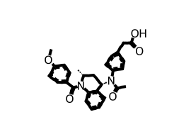 COc1ccc(C(=O)N2c3ccccc3[C@@H](N(C(C)=O)c3ccc(CC(=O)O)cc3)C[C@H]2C)cc1